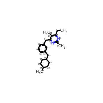 CCc1nc(C)nc(Cc2cccc(CC3CCC(C)CC3)c2)c1C